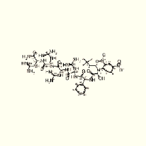 CC(C)(C)CCN(c1ccc([N+](=O)[O-])cc1[N+](=O)[O-])C(O)C(=O)NC(C(=O)NC(NC(=N)N)C(=O)NC(NC(=N)N)C(=O)NC(NC(=N)N)C(=O)NC(NC(=N)N)C(N)=O)c1ccccc1